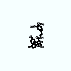 COc1ccc(CCNC(=O)C2NC(CC(C)(C)C)C(C#N)(c3ccc(Cl)cc3)C2c2cccc(Cl)c2)cc1OC